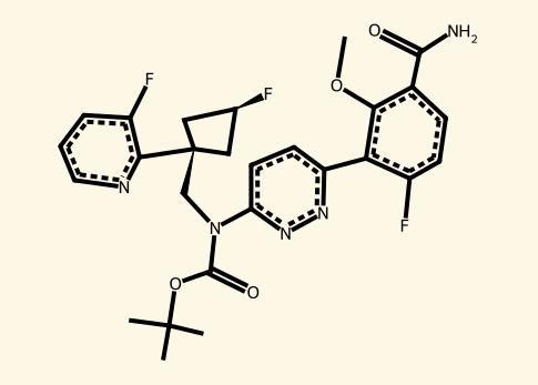 COc1c(C(N)=O)ccc(F)c1-c1ccc(N(C[C@]2(c3ncccc3F)C[C@H](F)C2)C(=O)OC(C)(C)C)nn1